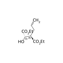 C=CC[C@@H](C(=O)OCC)[C@H](O)C(=O)OCC